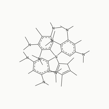 CC1=C(C)C(C)C([Si](c2cc(N(C)C)c(C)c(N(C)C)c2N(C)C)(c2cc(N(C)C)c(C)c(N(C)C)c2N(C)C)c2cc(N(C)C)c(C)c(N(C)C)c2N(C)C)=C1C